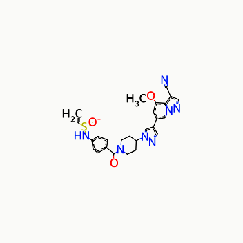 C=C[S+]([O-])Nc1ccc(C(=O)N2CCC(n3cc(-c4cc(OC)c5c(C#N)cnn5c4)cn3)CC2)cc1